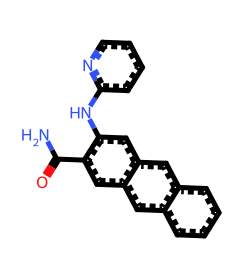 NC(=O)c1cc2cc3ccccc3cc2cc1Nc1ccccn1